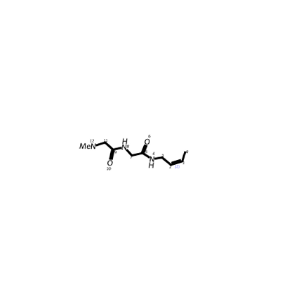 C/C=C\CNC(=O)CNC(=O)CNC